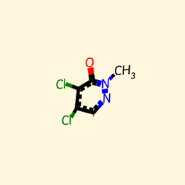 Cn1n[c]c(Cl)c(Cl)c1=O